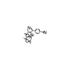 C=C(Cl)c1cncc(-c2ccc(C#N)cc2)c1N(C)N1C[C@@H](C)O[C@@H](C)C1